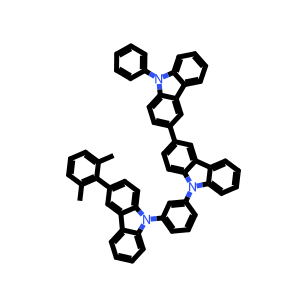 Cc1cccc(C)c1-c1ccc2c(c1)c1ccccc1n2-c1cccc(-n2c3ccccc3c3cc(-c4ccc5c(c4)c4ccccc4n5-c4ccccc4)ccc32)c1